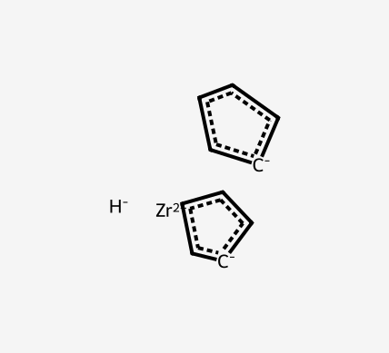 [H-].[Zr+2].c1cc[cH-]c1.c1cc[cH-]c1